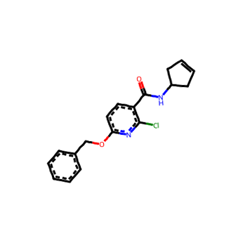 O=C(NC1CC=CC1)c1ccc(OCc2ccccc2)nc1Cl